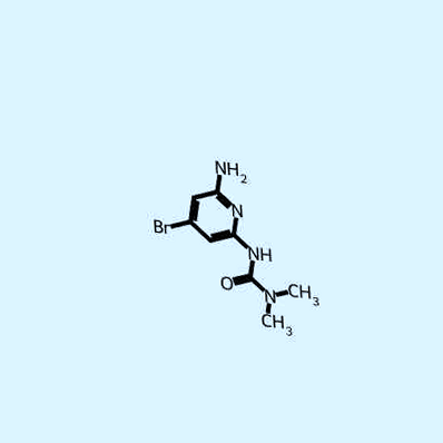 CN(C)C(=O)Nc1cc(Br)cc(N)n1